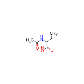 [CH2]CC(NC(C)=O)C(=O)O